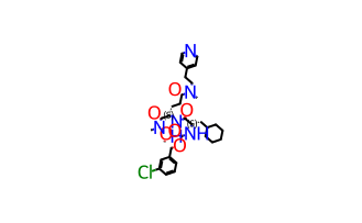 CON(C)C(=O)[C@H](CCC(=O)N(C)CCc1ccncc1)NC(=O)[C@H](CC1CCCCC1)NC(=O)OCc1cccc(Cl)c1